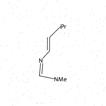 CN/C=N\C=CC(C)C